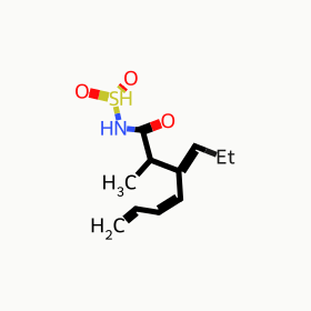 C=C/C=C\C(=C/CC)C(C)C(=O)N[SH](=O)=O